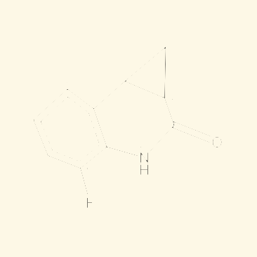 O=C1Nc2c(F)cccc2C2CC12